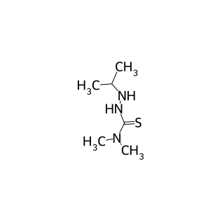 CC(C)NNC(=S)N(C)C